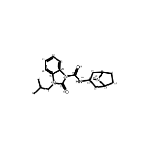 CC(C)Cn1c(=O)n(C(=O)NC2CC3CCC(C2)N3C)c2ccccc21